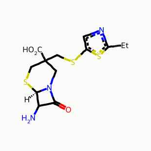 CCc1ncc(SCC2(C(=O)O)CS[C@@H]3C(N)C(=O)N3C2)s1